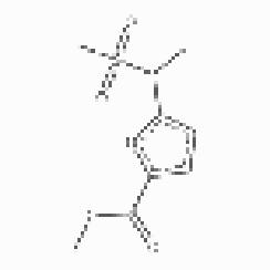 COC(=O)c1ccc(C(C)S(C)(=O)=O)o1